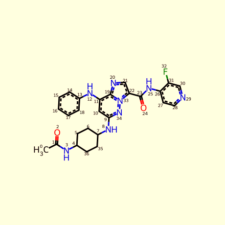 CC(=O)NC1CCC(Nc2cc(Nc3ccccc3)c3ncc(C(=O)Nc4ccncc4F)n3n2)CC1